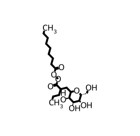 CCCCCCCCC(=O)OOC(=O)C(CCC)CC1O[C@H](CO)[C@@H](O)[C@H](O)[C@H]1O